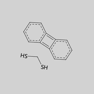 SCS.c1ccc2c(c1)=c1ccccc1=2